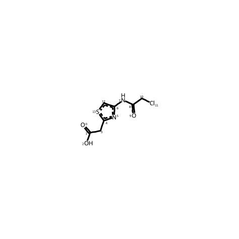 O=C(O)Cc1nc(NC(=O)CCl)cs1